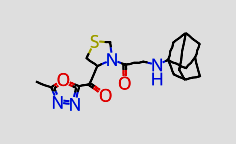 Cc1nnc(C(=O)C2CSCN2C(=O)CNC23CC4CC(CC(C4)C2)C3)o1